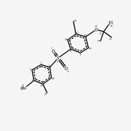 CCC(C)c1ccc(S(=O)(=O)c2ccc(OC(C)(C)CC)c(C)c2)cc1C